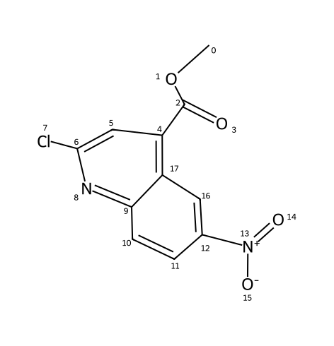 COC(=O)c1cc(Cl)nc2ccc([N+](=O)[O-])cc12